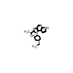 CC[C@H]1CC[C@H](n2c([C@@H](C)O)nc3cnc4[nH]ccc4c32)CC1